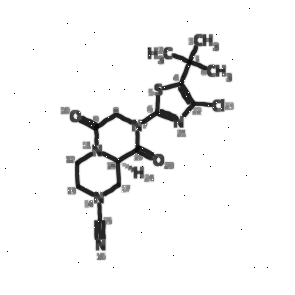 CC(C)(C)c1sc(N2CC(=O)N3CCN(C#N)C[C@@H]3C2=O)nc1Cl